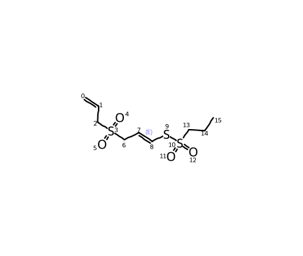 C=CCS(=O)(=O)C/C=C/SS(=O)(=O)CCC